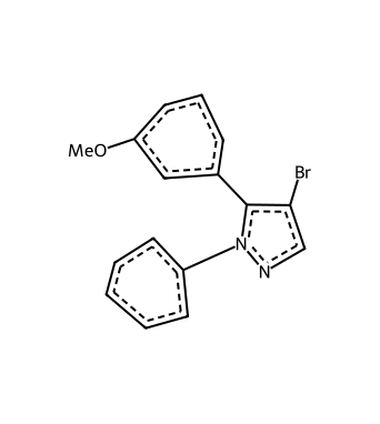 COc1cccc(-c2c(Br)cnn2-c2ccccc2)c1